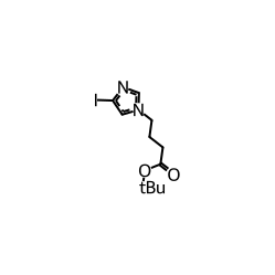 CC(C)(C)OC(=O)CCCn1cnc(I)c1